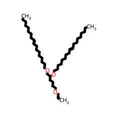 C=CCOCCCCC(COCCCCCCCCC=CCCCCCCCC)OCCCCCCCCC=CCCCCCCCC